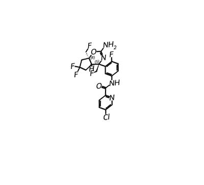 NC1=N[C@](CF)(c2cc(NC(=O)c3ccc(Cl)cn3)ccc2F)[C@H]2CC(F)(F)C[C@@]2(CF)O1